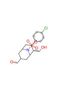 O=CC1CC2CC(=O)/C(=C\O)C(C1)N2S(=O)(=O)c1ccc(Cl)cc1